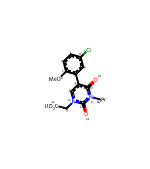 COc1ccc(Cl)cc1-c1cn(CC(=O)O)c(=O)n(C(C)C)c1=O